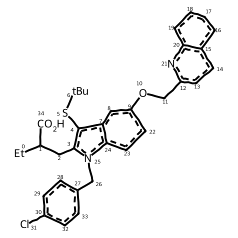 CCC(Cc1c(SC(C)(C)C)c2cc(OCc3ccc4ccccc4n3)ccc2n1Cc1ccc(Cl)cc1)C(=O)O